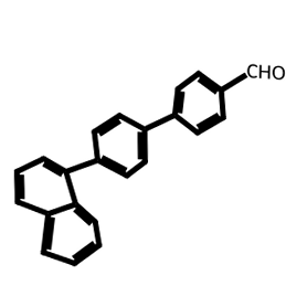 O=Cc1ccc(-c2ccc(-c3cccc4ccccc34)cc2)cc1